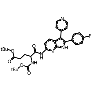 CC(C)(C)OC(=O)CCC(NC(=O)OC(C)(C)C)C(=O)Nc1ccc2c(-c3ccncc3)c(-c3ccc(F)cc3)[nH]c2n1